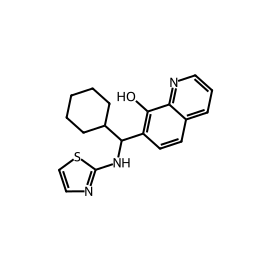 Oc1c(C(Nc2nccs2)C2CCCCC2)ccc2cccnc12